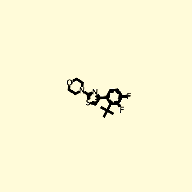 CC(C)(C)c1c(-c2csc(N3CCOCC3)n2)ccc(F)c1F